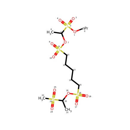 CCCOS(=O)(=O)C(C)OS(=O)(=O)CCCCCS(=O)(=O)OC(C)S(C)(=O)=O